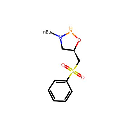 CCCCN1C[C@H](CS(=O)(=O)c2ccccc2)OP1